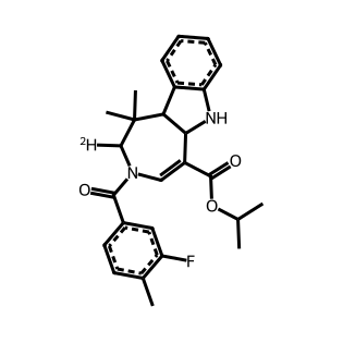 [2H]C1N(C(=O)c2ccc(C)c(F)c2)C=C(C(=O)OC(C)C)C2Nc3ccccc3C2C1(C)C